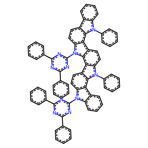 c1ccc(-c2nc(-c3ccccc3)nc(-n3c4ccccc4c4c3ccc3c5c(ccc6c7c(ccc8c9ccccc9n(-c9ccccc9)c87)n(-c7nc(-c8ccccc8)nc(-c8ccccc8)n7)c65)n(-c5ccccc5)c34)n2)cc1